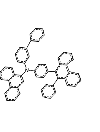 c1ccc(-c2cccc(N(c3ccc(-c4c(-c5ccccc5)c5ccccc5c5ccccc45)cc3)c3cc4ccccc4c4ccccc34)c2)cc1